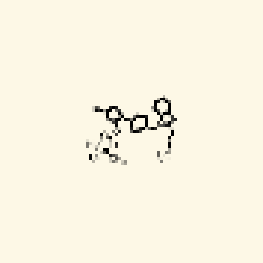 CCCCc1nc2ccccc2n1Cc1ccc(-c2ccc(Br)cc2OC(=O)OC(C)(C)C)cc1